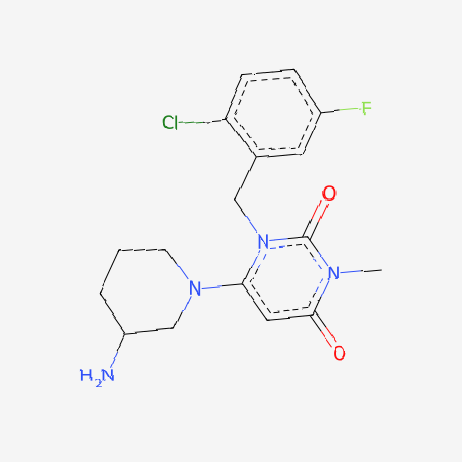 Cn1c(=O)cc(N2CCCC(N)C2)n(Cc2cc(F)ccc2Cl)c1=O